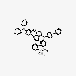 CC(C)c1ccccc1-c1cccc(C(C2=CC=C(c3ccccc3)CC2)c2ccc3c4c(cccc24)-c2ccc(N(C4=CCCC=C4)C4C=CCCC4)cc2O3)c1